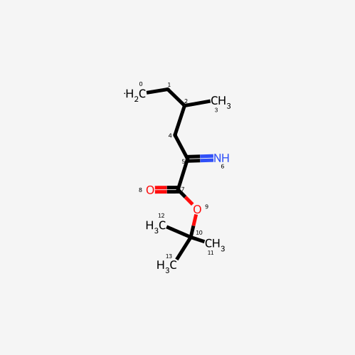 [CH2]CC(C)CC(=N)C(=O)OC(C)(C)C